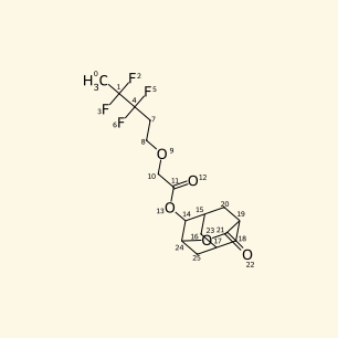 CC(F)(F)C(F)(F)CCOCC(=O)OC1C2CC3CC(C2)C(=O)OC1C3